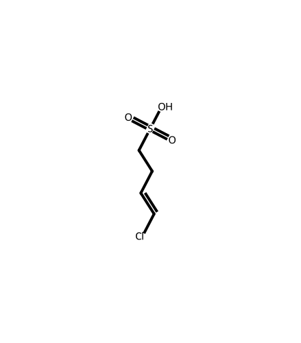 O=S(=O)(O)CCC=CCl